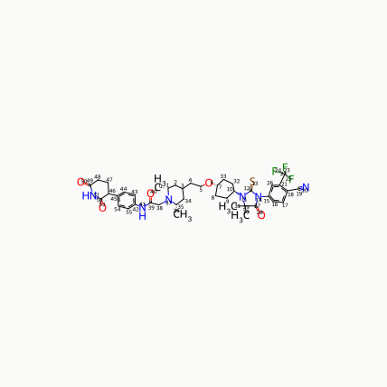 C[C@@H]1CC(CCO[C@H]2CC[C@H](N3C(=S)N(c4ccc(C#N)c(C(F)(F)F)c4)C(=O)C3(C)C)CC2)C[C@H](C)N1CC(=O)Nc1ccc(C2CCC(=O)NC2=O)cc1